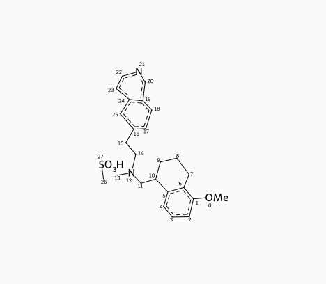 COc1cccc2c1CCCC2CN(C)CCc1ccc2cnccc2c1.CS(=O)(=O)O